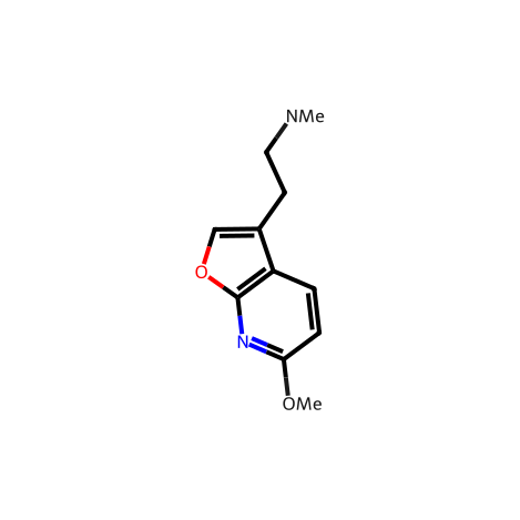 CNCCc1coc2nc(OC)ccc12